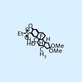 CCS(=O)(=O)C1=C[C@@]2(C)C(=CC1=O)CC[C@H]1[C@@H]3CC(OC)(OC)C[C@@]3(C)C[C@H](O)C12F